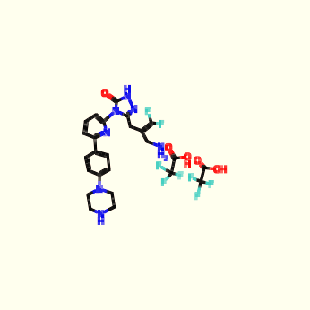 NCC(Cc1n[nH]c(=O)n1-c1cccc(-c2ccc(N3CCNCC3)cc2)n1)=C(F)F.O=C(O)C(F)(F)F.O=C(O)C(F)(F)F